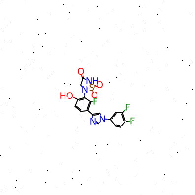 O=C1CN(c2c(O)ccc(-c3cn(-c4ccc(F)c(F)c4)cn3)c2F)S(=O)(=O)N1